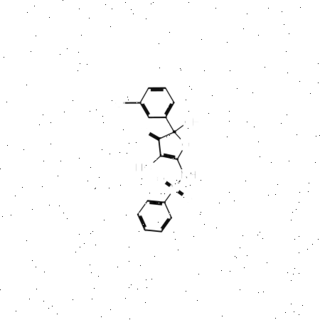 CC1(c2cccc(Cl)c2)OC(NS(=O)(=O)c2ccccc2)=C(O)C1=O